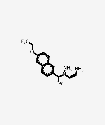 CC(C)C(c1ccc2cc(OCC(F)(F)F)ccc2c1)N(N)/C=C\N